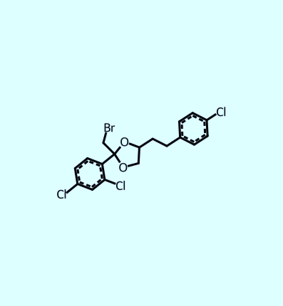 Clc1ccc(CCC2COC(CBr)(c3ccc(Cl)cc3Cl)O2)cc1